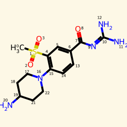 CS(=O)(=O)c1cc(C(=O)N=C(N)N)ccc1N1CCC(N)CC1